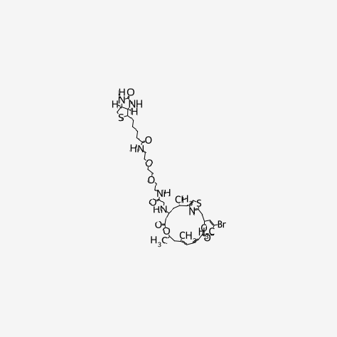 C/C(Br)=C\C1Cc2nc(cs2)[C@@H](C)CC(NCC(=O)NCCOCCOCCNC(=O)CCCCC2SC[C@@H]3NC(=O)N[C@H]23)CC(=O)OC(C)C/C(C)=C/C=C\C(=O)O1